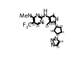 CNc1nc(Nc2cnn([C@@H]3CC[C@H](n4ccnn4)C3)c2C)ncc1C(F)(F)F